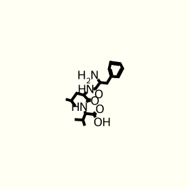 CC(C)CC(NC(=O)C(N)Cc1ccccc1)C(=O)NC(C(=O)O)C(C)C